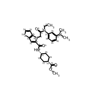 CCN(C(=O)Cn1c(C(=O)N[C@H]2CC[C@H](C(=O)OC)CC2)cc2sccc21)c1cccc(N(C)C)c1